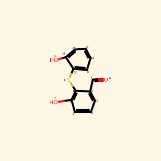 O=Cc1cccc(O)c1Sc1ccccc1O